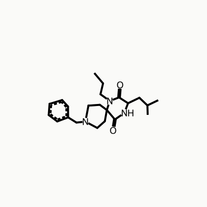 CCCN1C(=O)C(CC(C)C)NC(=O)C12CCN(Cc1ccccc1)CC2